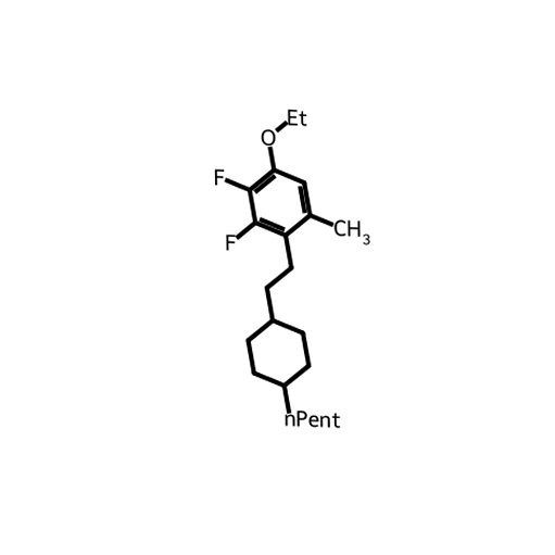 CCCCCC1CCC(CCc2c(C)cc(OCC)c(F)c2F)CC1